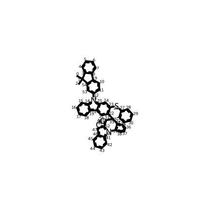 CC1(C)c2ccccc2-c2ccc(-n3c4ccccc4c4cc5c(cc43)Sc3ccccc3[C@@]53c4ccccc4-n4c5ccccc5c5cccc3c54)cc21